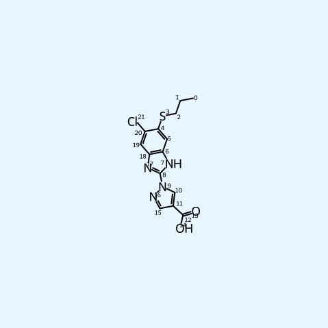 CCCSc1cc2[nH]c(-n3cc(C(=O)O)cn3)nc2cc1Cl